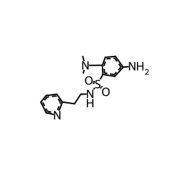 CN(C)c1ccc(N)cc1S(=O)(=O)NCCc1ccccn1